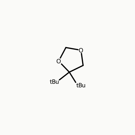 CC(C)(C)C1(C(C)(C)C)COCO1